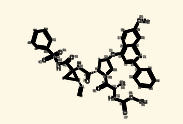 C=C[C@@H]1C[C@]1(NC(=O)[C@@H]1C[C@@H](Oc2cc(-c3ccccc3)nc3cc(OC)ccc23)CN1C(=O)[C@H](CC)NC(=O)OC(C)(C)C)C(=O)NS(=O)(=O)c1ccccc1